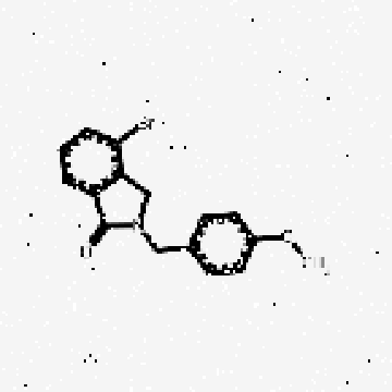 COc1ccc(CN2Cc3c(Br)cccc3C2=O)cc1